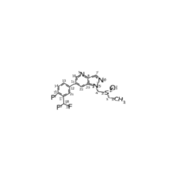 CC[S@+]([O-])Cn1ncc2ncc(-c3ccc(F)c(C(F)F)c3)cc21